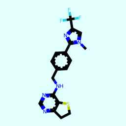 Cn1cc(C(F)(F)F)nc1-c1ccc(CNc2ncnc3c2SCC3)cc1